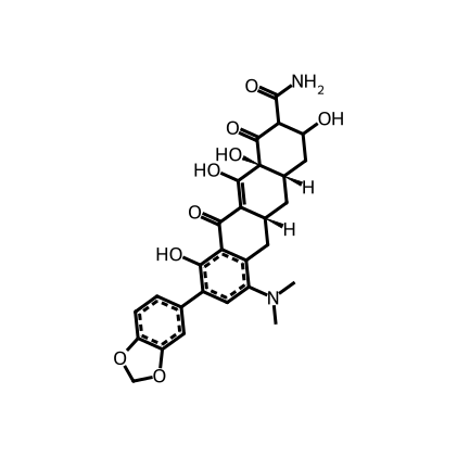 CN(C)c1cc(-c2ccc3c(c2)OCO3)c(O)c2c1C[C@H]1C[C@H]3CC(O)C(C(N)=O)C(=O)[C@@]3(O)C(O)=C1C2=O